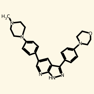 CN1CCN(c2ccc(-c3cnc4[nH]nc(-c5ccc(N6CCOCC6)cc5)c4c3)cc2)CC1